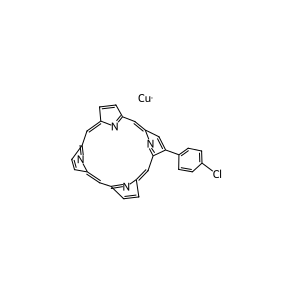 Clc1ccc(C2=CC3=CC4=NC(=CC5=NC(=CC6=NC(=CC2=N3)C=C6)C=C5)C=C4)cc1.[Cu]